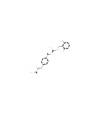 Cc1cccc(Cl)c1CN/C(N)=N/C(=O)c1ccc(C[C@H](N)C(=O)O)cc1